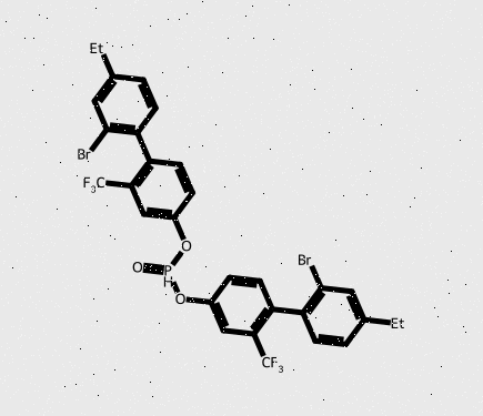 CCc1ccc(-c2ccc(O[PH](=O)Oc3ccc(-c4ccc(CC)cc4Br)c(C(F)(F)F)c3)cc2C(F)(F)F)c(Br)c1